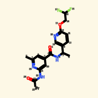 Cc1cc(C(=O)NC(C)c2ccc(OCC(F)F)nc2)cc(NC(=O)C(C)C)n1